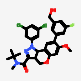 COc1cc2c(cc1-c1cc(F)cc(CO)c1)C1C(CO2)C(C(=O)N(C)C(C)(C)C)=NN1c1cc(Cl)cc(Cl)c1